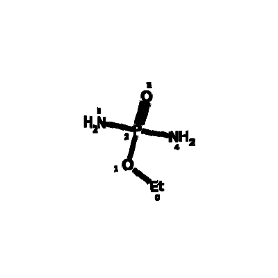 CCOP(N)(N)=O